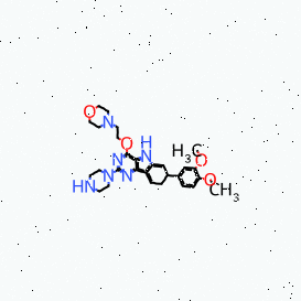 COc1ccc(C2C=c3[nH]c4c(OCCN5CCOCC5)nc(N5CCNCC5)nc4c3=CC2)cc1OC